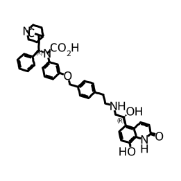 O=C(O)N(c1cccc(OCc2ccc(CCNC[C@H](O)c3ccc(O)c4[nH]c(=O)ccc34)cc2)c1)[C@@H](c1ccccc1)C1CN2CCC1CC2